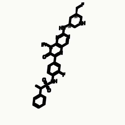 CC(C)n1c(=O)c(-c2ccc(NS(=O)(=O)C(C)c3ccccc3)c(F)c2)nc2cnc(N[C@@H]3CNC[C@H](CF)C3)nc21